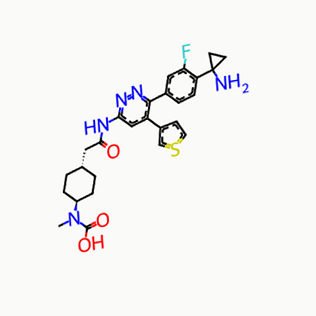 CN(C(=O)O)[C@H]1CC[C@H](CC(=O)Nc2cc(-c3ccsc3)c(-c3ccc(C4(N)CC4)c(F)c3)nn2)CC1